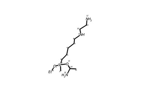 CCO[Si](C)(CCCCCNCCN)OC(C)N